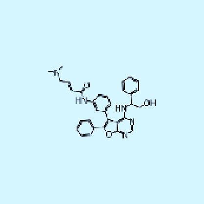 CN(C)C/C=C/C(=O)Nc1cccc(-c2c(-c3ccccc3)oc3ncnc(NC(CO)c4ccccc4)c23)c1